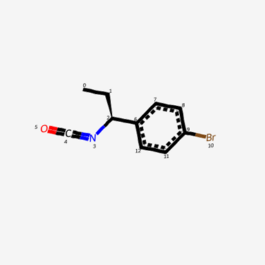 CC[C@H](N=C=O)c1ccc(Br)cc1